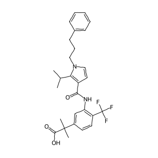 CC(C)c1c(C(=O)Nc2cc(C(C)(C)C(=O)O)ccc2C(F)(F)F)ccn1CCCc1ccccc1